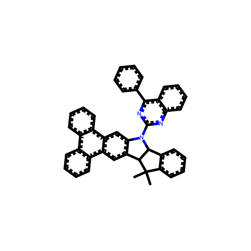 CC1(C)c2ccccc2C2C1c1cc3c4ccccc4c4ccccc4c3cc1N2c1nc(-c2ccccc2)c2ccccc2n1